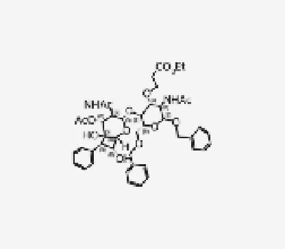 CCOC(=O)CCO[C@@H]1[C@@H](NC(C)=O)[C@@H](OCc2ccccc2)O[C@H](COCc2ccccc2)[C@H]1O[C@@H]1O[C@@H]2[C@H](O)[C@@H](c3ccccc3)[C@]2(O)[C@H](OC(C)=O)[C@H]1NC(C)=O